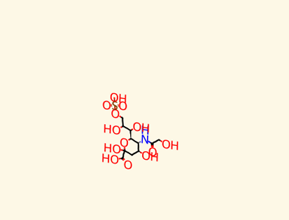 O=C(CO)N[C@@H]1[C@@H](O)CC(O)(C(=O)O)O[C@H]1C(O)C(O)COS(=O)(=O)O